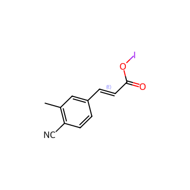 Cc1cc(/C=C/C(=O)OI)ccc1C#N